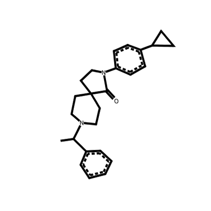 CC(c1ccccc1)N1CCC2(CCN(c3ccc(C4CC4)cc3)C2=O)CC1